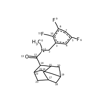 CN(Cc1cc(F)cc(F)c1F)C(=O)C1C2CC3CC(C2)CC1C3